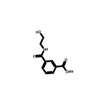 COC(=O)c1cccc(C(=O)NCCO)c1